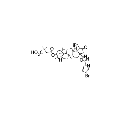 CC(C)C1=C2[C@H]3CC[C@@H]4[C@@]5(C)CC[C@H](OC(=O)CC(C)(C)C(=O)O)C(C)(C)[C@@H]5CC[C@@]4(C)[C@]3(C)CC[C@@]2(c2nnc(-c3ccc(Br)cn3)o2)CC1=O